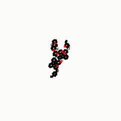 C=Cc1ccc(Oc2ccc(C3(c4ccc(F)cc4)c4ccccc4-c4ccc(N(c5ccc(-c6ccc7c(c6)C(C)(C)c6ccccc6O7)cc5)c5ccc6c(c5)C(c5ccc(F)cc5)(c5ccc(Oc7ccc(C=C)cc7)cc5)c5ccccc5-6)cc43)cc2)cc1